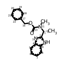 C[C@H](c1nc2ccccc2[nH]1)N(C)C(=O)OCc1ccccc1